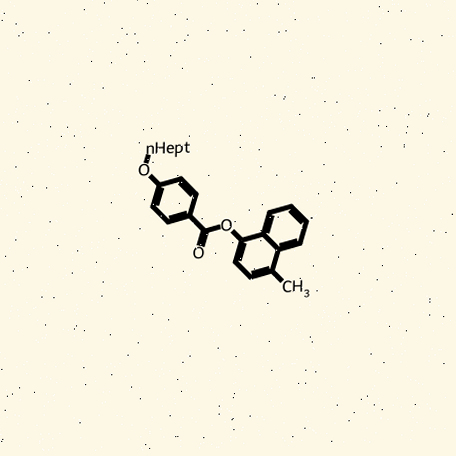 CCCCCCCOc1ccc(C(=O)Oc2ccc(C)c3ccccc23)cc1